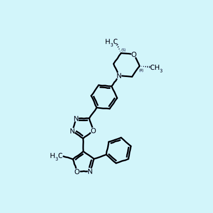 Cc1onc(-c2ccccc2)c1-c1nnc(-c2ccc(N3C[C@@H](C)O[C@@H](C)C3)cc2)o1